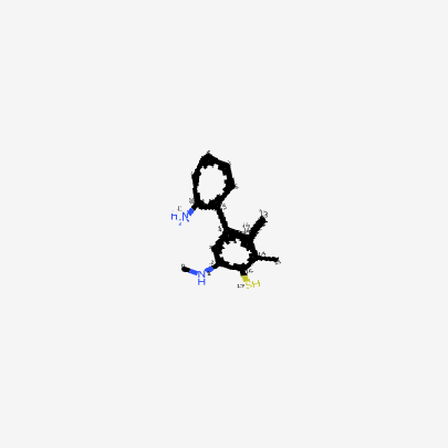 CNc1cc(-c2ccccc2N)c(C)c(C)c1S